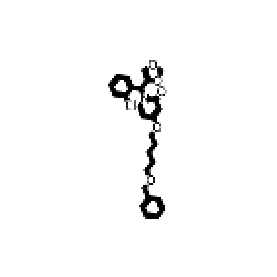 O=c1cc(OCCCCCOCc2ccccc2)ccn1C(C1=COCO1)c1ccccc1Cl